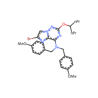 CCCC(CCC)Oc1nc(N(Cc2ccc(OC)cc2)Cc2ccc(OC)cc2)c2nc(Br)cn2n1